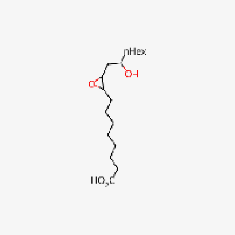 CCCCCCC(O)CC1OC1CCCCCCCC(=O)O